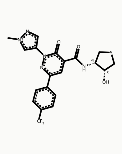 Cn1cc(-n2nc(-c3ccc(C(F)(F)F)cc3)cc(C(=O)N[C@@H]3CSC[C@@H]3O)c2=O)cn1